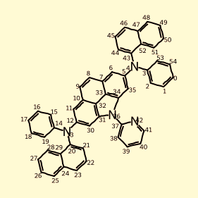 c1ccc(N(c2cc3ccc4cc(N(c5ccccc5)c5cccc6ccccc56)cc5c4c3c(c2)n5-c2ccccn2)c2cccc3ccccc23)cc1